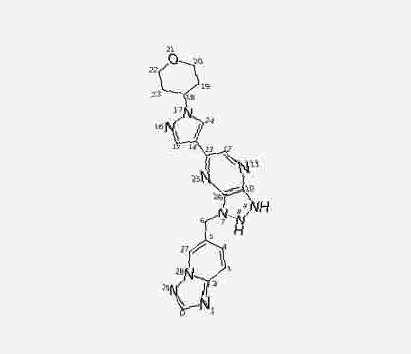 c1nc2ccc(CN3NNc4ncc(-c5cnn(C6CCOCC6)c5)nc43)cn2n1